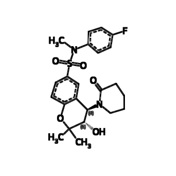 CN(c1ccc(F)cc1)S(=O)(=O)c1ccc2c(c1)[C@@H](N1CCCCC1=O)[C@H](O)C(C)(C)O2